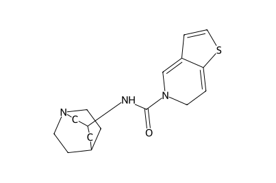 O=C(NC1CC2CCN(CC2)C1)N1C=c2ccsc2=CC1